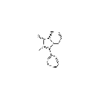 CC1=C(c2ccccc2)c2ccccc2C1=O